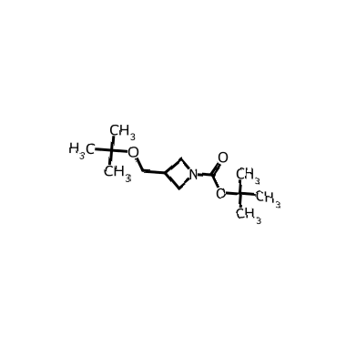 CC(C)(C)OCC1CN(C(=O)OC(C)(C)C)C1